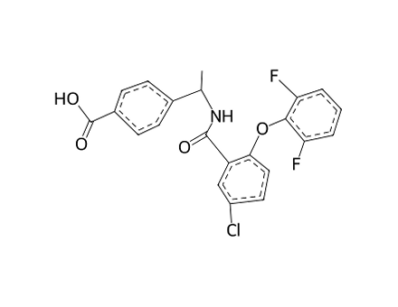 CC(NC(=O)c1cc(Cl)ccc1Oc1c(F)cccc1F)c1ccc(C(=O)O)cc1